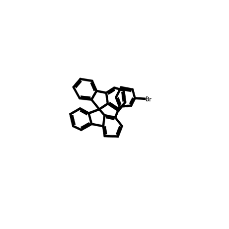 Brc1cccc(-c2cccc3c2C2(c4ccccc4-c4ccccc42)c2ccccc2-3)c1